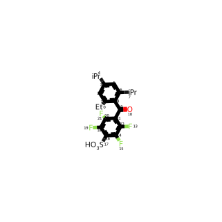 CCc1cc(C(C)C)cc(C(C)C)c1C(=O)c1c(F)c(F)c(S(=O)(=O)O)c(F)c1F